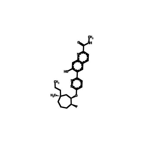 CCC[C@]1(C)CCC[C@H](F)[C@H](Oc2ccc(-c3cc4ccc(C(=O)NC)nc4cc3O)nn2)C1